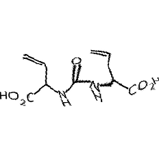 C=CC(NC(=O)NC(C=C)C(=O)O)C(=O)O